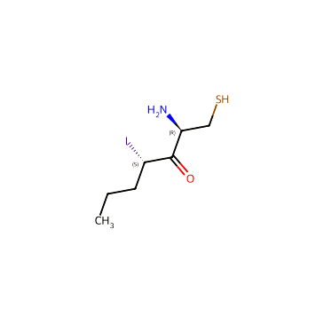 CCC[C@H](I)C(=O)[C@@H](N)CS